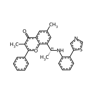 Cc1cc([C@@H](C)Nc2ccccc2-c2cncs2)c2oc(-c3ccccc3)c(C)c(=O)c2c1